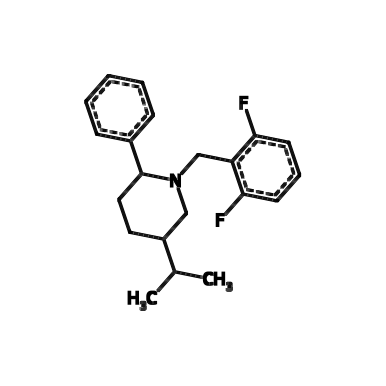 CC(C)C1CCC(c2ccccc2)N(Cc2c(F)cccc2F)C1